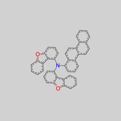 c1ccc2c(c1)ccc1c3cccc(N(c4cccc5oc6ccccc6c45)c4cccc5oc6ccccc6c45)c3ccc21